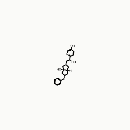 Oc1ccc([C@@H](O)CN2C[C@@H]3C[C@@H](Oc4ccccc4)C[C@]3(O)C2)nc1